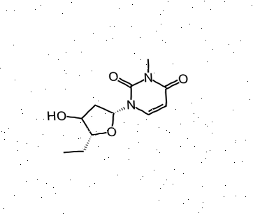 CC[C@H]1O[C@@H](n2ccc(=O)n(C)c2=O)CC1O